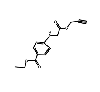 C#CCOC(=O)CNc1ccc(C(=O)OCC)cc1